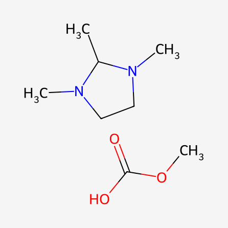 CC1N(C)CCN1C.COC(=O)O